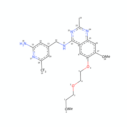 COCCOCCOc1cc2c(NCc3cc(N)nc(C(F)(F)F)c3)nc(C)nc2cc1OC